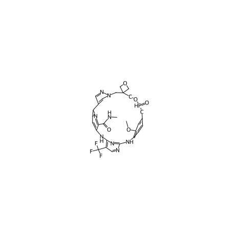 CNC(=O)c1nc2ccc1Nc1nc(ncc1C(F)(F)F)Nc1ccc(cc1OC)C[PH](=O)OCC1(COC1)Cn1cc-2cn1